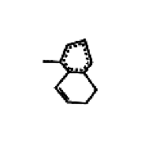 Cc1cccc2c1C=CCC2